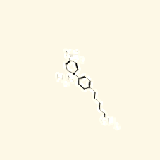 CCCCCCc1ccc(C2(N)C=CC(N)=CC2)cc1